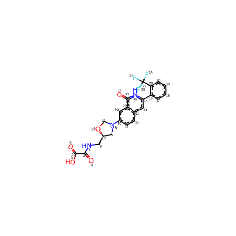 O=C(O)C(=O)NC[C@@H]1CN(c2ccc3cc(-c4ccccc4C(F)(F)F)[nH]c(=O)c3c2)CO1